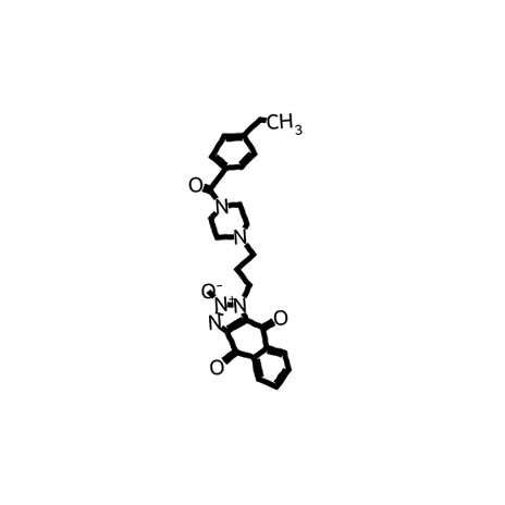 CCc1ccc(C(=O)N2CCN(CCCn3c4c(n[n+]3[O-])C(=O)c3ccccc3C4=O)CC2)cc1